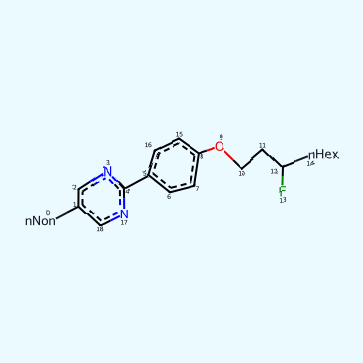 CCCCCCCCCc1cnc(-c2ccc(OCCC(F)CCCCCC)cc2)nc1